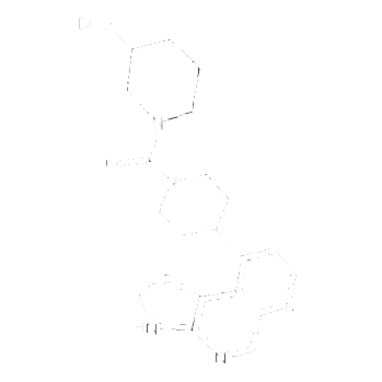 CC(C)COC1CCCN(C(=O)N2CCC(c3ccnc4cnc5[nH]ccc5c34)CC2)C1